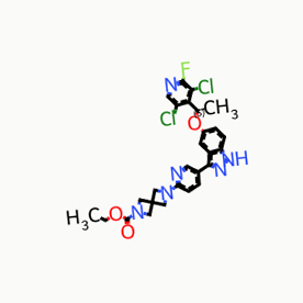 CCOC(=O)N1CC2(C1)CN(c1ccc(-c3n[nH]c4ccc(O[C@@H](C)c5c(Cl)cnc(F)c5Cl)cc34)cn1)C2